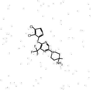 CC1(N)CCN(c2cnc(Sc3cccc(Cl)c3Cl)c(C(F)(F)F)n2)CC1